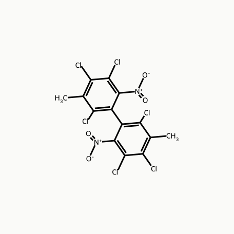 Cc1c(Cl)c(Cl)c([N+](=O)[O-])c(-c2c(Cl)c(C)c(Cl)c(Cl)c2[N+](=O)[O-])c1Cl